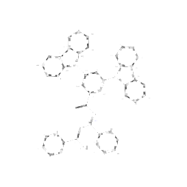 C=C(/N=C(\C=C(/N)c1ccccc1)c1ccccc1)c1cc(-n2c3ccccc3c3ccccc32)cc(-n2c3ccccc3c3ccccc32)c1